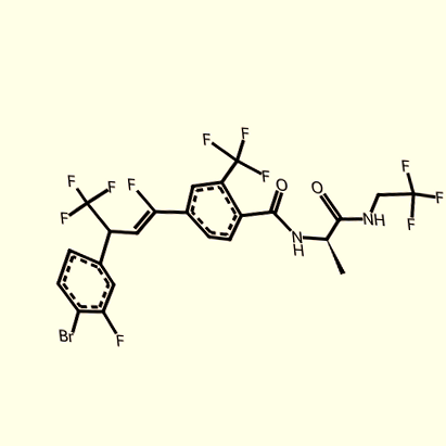 C[C@@H](NC(=O)c1ccc(/C(F)=C/C(c2ccc(Br)c(F)c2)C(F)(F)F)cc1C(F)(F)F)C(=O)NCC(F)(F)F